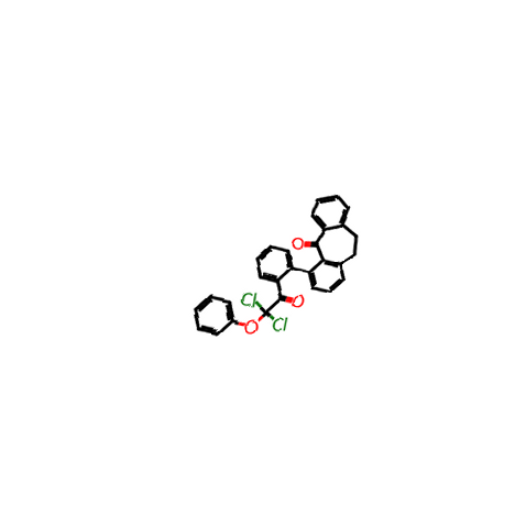 O=C1c2ccccc2CCc2cccc(-c3ccccc3C(=O)C(Cl)(Cl)Oc3ccccc3)c21